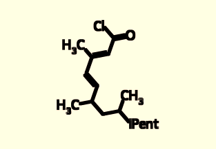 CCCC(C)C(C)CC(C)C=CC(C)=CC(=O)Cl